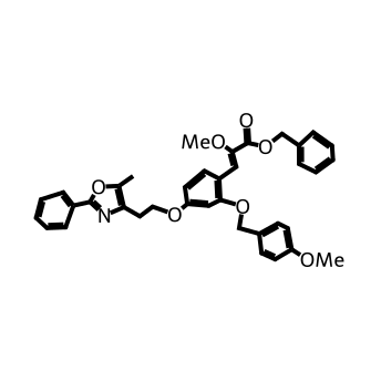 CO/C(=C\c1ccc(OCCc2nc(-c3ccccc3)oc2C)cc1OCc1ccc(OC)cc1)C(=O)OCc1ccccc1